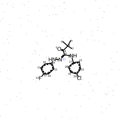 CC(C)(C)C(=O)/C(=N\Nc1ccc(F)cc1)Nc1ccc(Cl)cc1